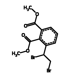 COC(=O)c1cccc(C(Br)CBr)c1C(=O)OC